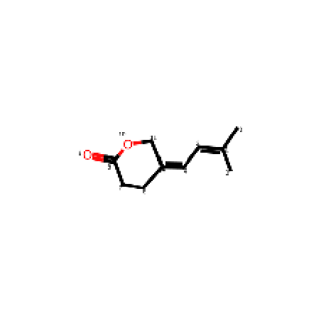 CC(C)=C/C=C1/CCC(=O)OC1